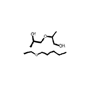 CC(O)COC(C)CO.CCCCCOCC